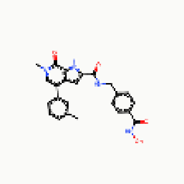 Cc1cccc(-c2cn(C)c(=O)c3[nH]c(C(=O)NCc4ccc(C(=O)NO)cc4)cc23)c1